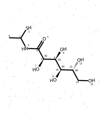 CC(S)NC(=O)[C@H](O)[C@@H](O)[C@H](O)[C@H](O)CO